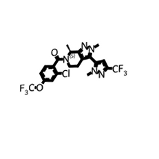 C[C@H]1c2nn(C)c(-c3cc(C(F)(F)F)nn3C)c2CCN1C(=O)c1ccc(OC(F)(F)F)cc1Cl